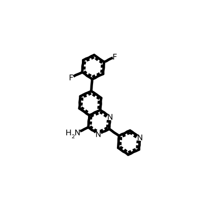 Nc1nc(-c2cccnc2)nc2cc(-c3cc(F)ccc3F)ccc12